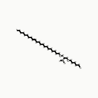 CCCCCCCCC=CCCCCCCCCCCCCOC[C@H](COCCCCCC)N(C)C